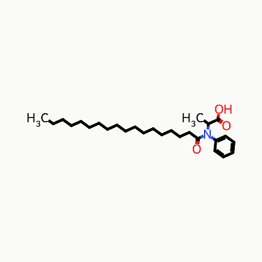 CCCCCCCCCCCCCCCCCC(=O)N(c1ccccc1)C(C)C(=O)O